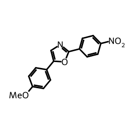 COc1ccc(-c2cnc(-c3ccc([N+](=O)[O-])cc3)o2)cc1